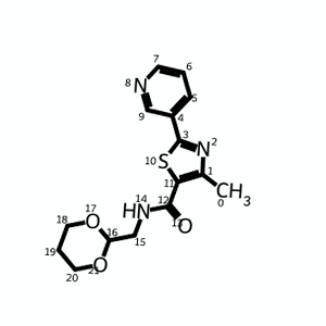 Cc1nc(-c2cccnc2)sc1C(=O)NCC1OCCCO1